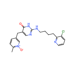 Cc1ccc(Cc2cnc(NCCCCc3ncccc3Cl)[nH]c2=O)c[n+]1[O-]